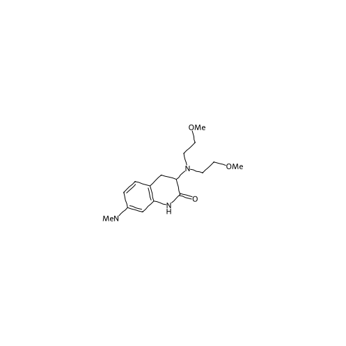 CNc1ccc2c(c1)NC(=O)C(N(CCOC)CCOC)C2